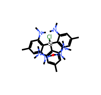 Cc1cc(N(C)C)c([Si](Cl)(c2c(N(C)C)cc(C)cc2N(C)C)c2c(N(C)C)cc(C)cc2N(C)C)c(N(C)C)c1